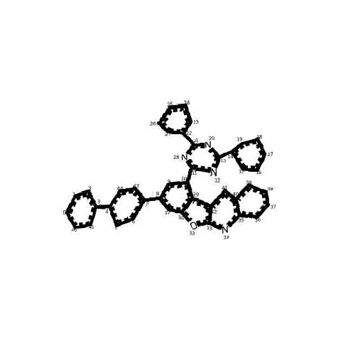 c1ccc(-c2ccc(-c3cc(-c4nc(-c5ccccc5)nc(-c5ccccc5)n4)c4c(c3)oc3nc5ccccc5cc34)cc2)cc1